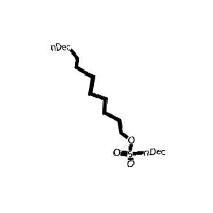 CCCCCCCCCCCCCCCCCCOS(=O)(=O)CCCCCCCCCC